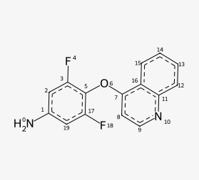 Nc1cc(F)c(Oc2ccnc3ccccc23)c(F)c1